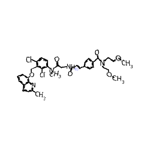 COCCN(CCOC)C(=O)c1ccc(/C=C/C(=O)NCC(=O)N(C)c2ccc(Cl)c(COc3cccc4ccc(C)nc34)c2Cl)cc1